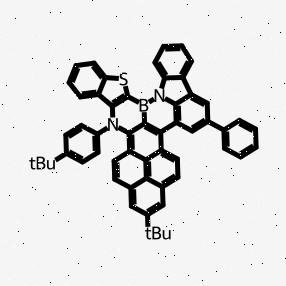 CC(C)(C)c1ccc(N2c3c(sc4ccccc34)B3c4c(c5ccc6cc(C(C)(C)C)cc7ccc(c42)c5c67)-c2cc(-c4ccccc4)cc4c5ccccc5n3c24)cc1